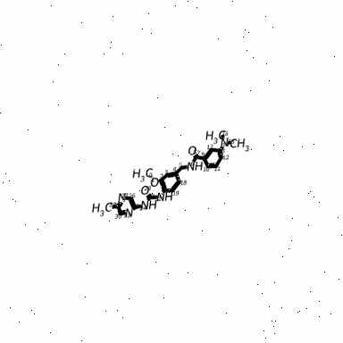 COc1cc(CNC(=O)c2cccc(N(C)C)c2)ccc1NC(=O)Nc1cnc(C)cn1